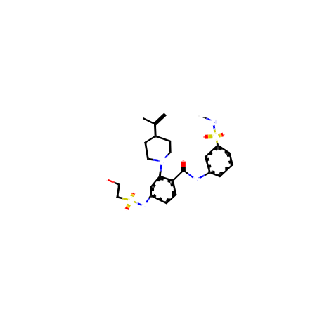 C=C(C)C1CCN(c2cc(NS(=O)(=O)CCO)ccc2C(=O)Nc2cccc(S(=O)(=O)NC(C)(C)C)c2)CC1